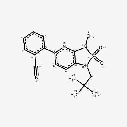 CN1c2nc(-c3ccccc3C#N)ccc2N(CC(C)(C)C)S1(=O)=O